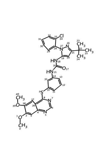 COc1cc2ncnc(Sc3cccc(NC(=O)Nc4cc(C(C)(C)C)nn4-c4ccccc4Cl)c3)c2cc1OC